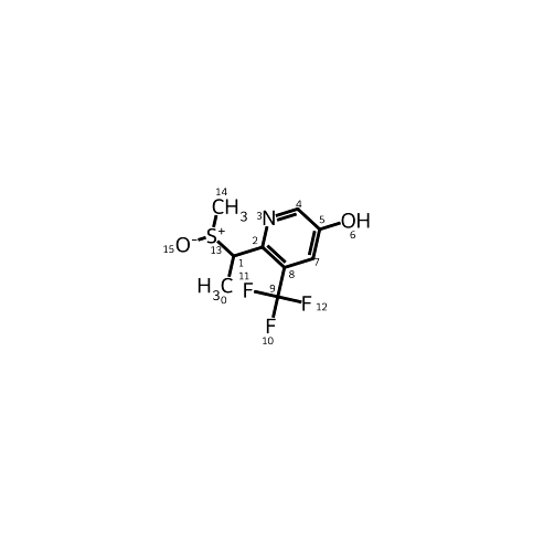 CC(c1ncc(O)cc1C(F)(F)F)[S+](C)[O-]